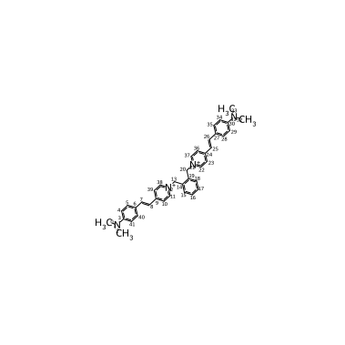 CN(C)c1ccc(/C=C/c2cc[n+](Cc3ccccc3C[n+]3ccc(/C=C/c4ccc(N(C)C)cc4)cc3)cc2)cc1